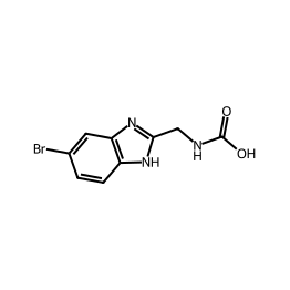 O=C(O)NCc1nc2cc(Br)ccc2[nH]1